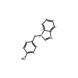 CCC(C)c1ccc(Cn2cnc3ccccc32)cc1